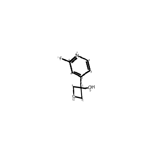 OC1(c2ccnc(F)c2)COC1